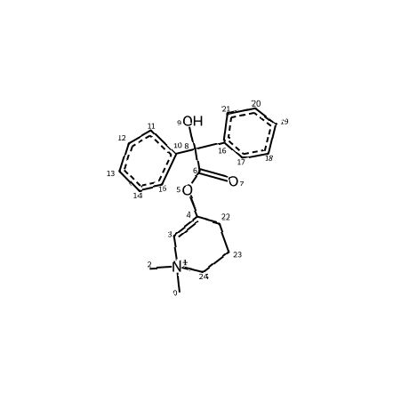 C[N+]1(C)C=C(OC(=O)C(O)(c2ccccc2)c2ccccc2)CCC1